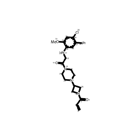 C=CC(=O)N1CC(N2CCN(C(=O)CNc3cc(C(C)C)c(Cl)cc3OC)CC2)C1